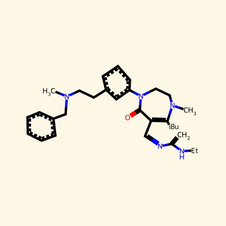 C=C(/N=C\C1=C(C(C)CC)N(C)CCN(c2cccc(CCN(C)Cc3ccccc3)c2)C1=O)NCC